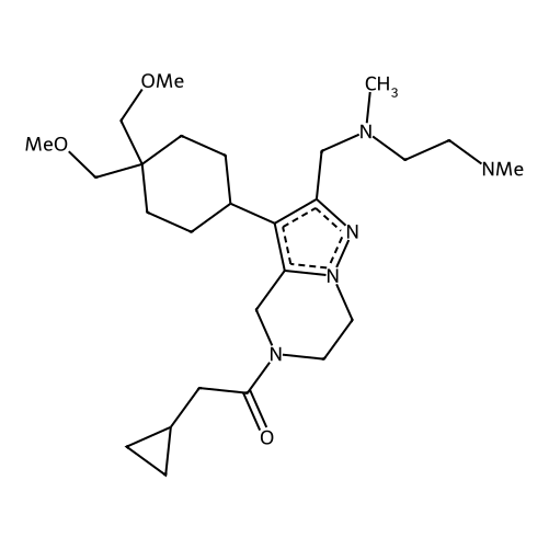 CNCCN(C)Cc1nn2c(c1C1CCC(COC)(COC)CC1)CN(C(=O)CC1CC1)CC2